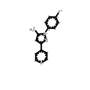 Cc1cc(-c2ccncc2)nn1-c1ccc(F)cc1